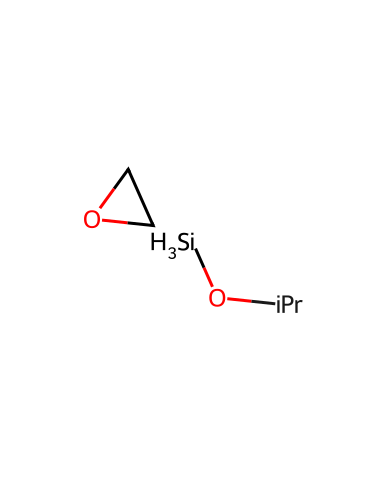 C1CO1.CC(C)O[SiH3]